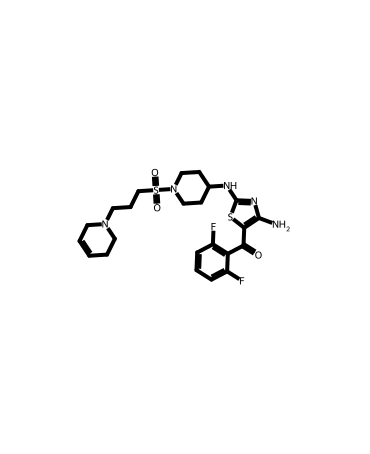 Nc1nc(NC2CCN(S(=O)(=O)CCCN3CC=CCC3)CC2)sc1C(=O)c1c(F)cccc1F